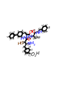 CCC(C)C(NC(=O)C(Cc1ccc(-c2ccccc2)cc1)NC(=O)[C@@H](S)[C@@H](N)Cc1ccc(C(=O)O)cc1)C(=O)NCc1ccccc1